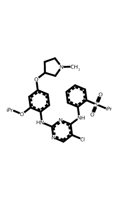 CC(C)Oc1cc(OC2CCN(C)C2)ccc1Nc1ncc(Cl)c(Nc2ccccc2S(=O)(=O)C(C)C)n1